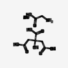 NCC(=O)O.O=C(O)CC(O)(CC(=O)O)C(=O)O.[Mn]